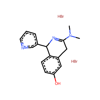 Br.Br.CN(C)C1=NC(c2cccnc2)c2ccc(O)cc2C1